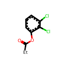 CCC(=O)Oc1cccc(Cl)c1Cl